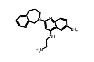 Bc1ccc2nc(N3CCCc4ccccc4C3)cc(NCCN)c2c1